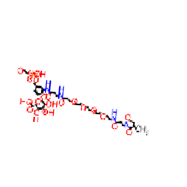 CC1CC(=O)N(CCC(=O)NCCOCCOCCOCCOCCC(=O)NCCC(=O)Nc2cc(COP(=O)(O)OCC=O)ccc2O[C@@H]2O[C@H](C(=O)O)[C@@H](O)[C@H](O)[C@H]2O)C1=O